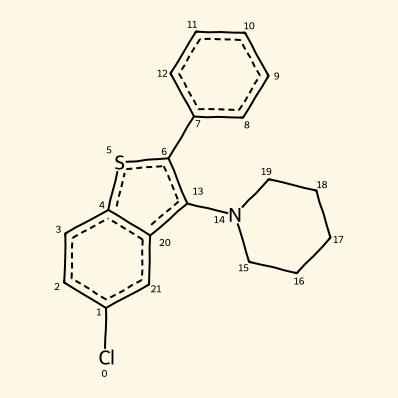 Clc1ccc2sc(-c3ccccc3)c(N3CCCCC3)c2c1